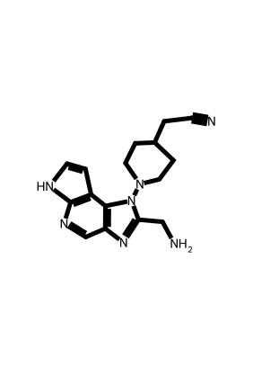 N#CCC1CCN(n2c(CN)nc3cnc4[nH]ccc4c32)CC1